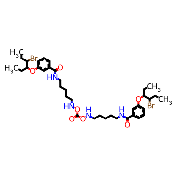 CCC(Br)C(CC)Oc1cccc(C(=O)NCCCCCNOC(=O)ONCCCCCNC(=O)c2cccc(OC(CC)C(Br)CC)c2)c1